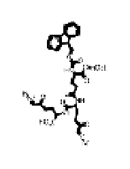 CCCCCCCCOC(=O)C(CCC(=O)NC(CCC(=O)C=[N+]=[N-])C(=O)NC(CCC(=O)C=[N+]=[N-])C(=O)O)NC(=O)OCC1c2ccccc2-c2ccccc21